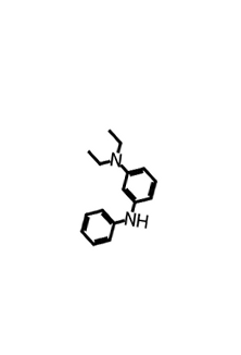 CCN(CC)c1cccc(Nc2ccccc2)c1